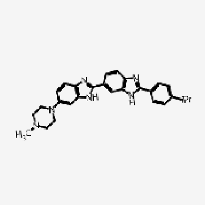 CC(C)c1ccc(-c2nc3ccc(-c4nc5ccc(N6CCN(C)CC6)cc5[nH]4)cc3[nH]2)cc1